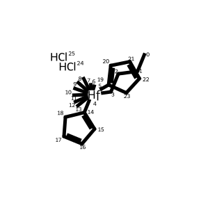 CCC[CH2][Hf]([CH3])([CH3])([CH3])([CH3])([CH3])([CH3])([CH3])([CH3])([CH3])([C]1=CC=CC1)[C]1=CC=CC1.Cl.Cl